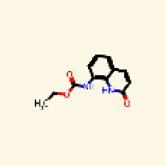 CCOC(=O)Nc1cccc2ccc(=O)[nH]c12